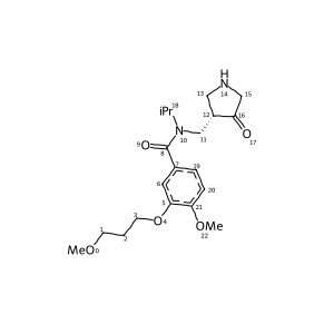 COCCCOc1cc(C(=O)N(C[C@@H]2CNCC2=O)C(C)C)ccc1OC